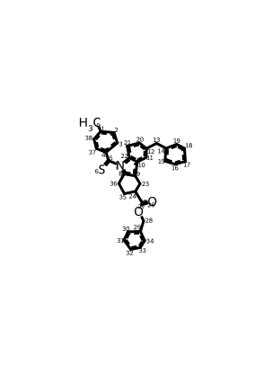 Cc1ccc(C(=S)n2c3c(c4cc(Cc5ccccc5)ccc42)CC(C(=O)OCc2ccccc2)CC3)cc1